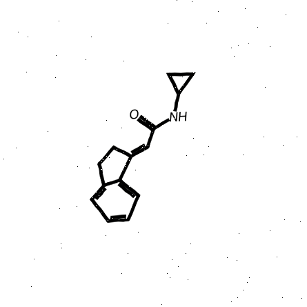 O=C(/C=C1\CCc2ccccc21)NC1CC1